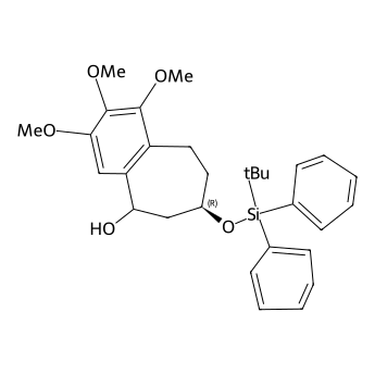 COc1cc2c(c(OC)c1OC)CC[C@@H](O[Si](c1ccccc1)(c1ccccc1)C(C)(C)C)CC2O